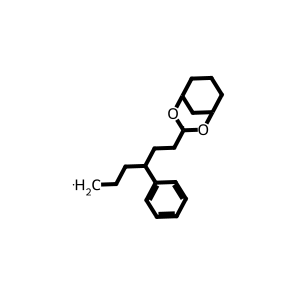 [CH2]CCC(CC[C]1OC2CCCC(C2)O1)c1ccccc1